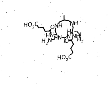 CC1CNC[C@@](CN)(NC(=O)CCCC(=O)O)N[C@@H](C)N[C@@](CN)(NC(=O)CCCC(=O)O)CNC1